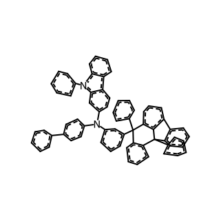 c1ccc(-c2ccc(N(c3cccc(C4(c5ccccc5)c5ccccc5C5(c6ccccc6)c6ccccc6-c6cccc4c65)c3)c3ccc4c5ccccc5n(-c5ccccc5)c4c3)cc2)cc1